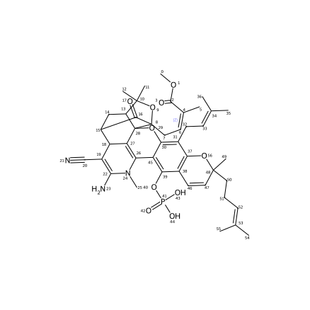 COC(=O)/C(C)=C\CC12OC(C)(C)C3CC(C1=O)C1C(C#N)=C(N)N(C)C4=C1C32Oc1c(CC=C(C)C)c2c(c(OP(=O)(O)O)c14)C=CC(C)(CCC=C(C)C)O2